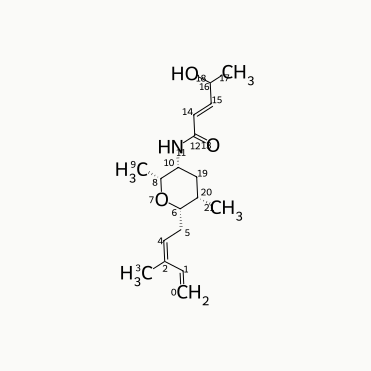 C=CC(C)=CC[C@@H]1O[C@H](C)[C@H](NC(=O)C=CC(C)O)C[C@@H]1C